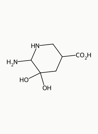 NC1NCC(C(=O)O)CC1(O)O